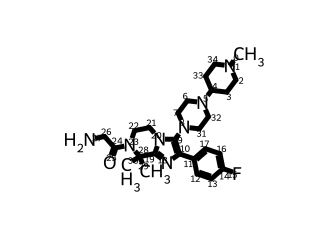 CN1CCC(N2CCN(c3c(-c4ccc(F)cc4)nc4n3CCN(C(=O)CN)C4(C)C)CC2)CC1